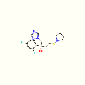 O[C@@](CCSN1CCCC1)(Cn1cncn1)c1ccc(F)cc1F